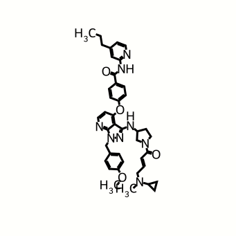 CCCc1ccnc(NC(=O)c2ccc(Oc3ccnc4c3c(NC3CCN(C(=O)C=CCN(C)C5CC5)C3)nn4Cc3ccc(OC)cc3)cc2)c1